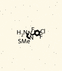 CSc1cc(N)nc(-c2cc(F)c(Cl)cc2F)n1